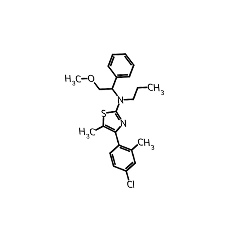 CCCN(c1nc(-c2ccc(Cl)cc2C)c(C)s1)C(COC)c1ccccc1